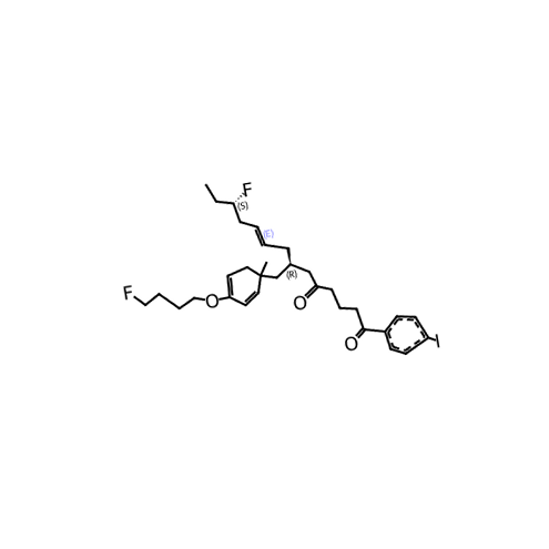 CC[C@H](F)C/C=C/C[C@@H](CC(=O)CCCC(=O)c1ccc(I)cc1)CC1(C)C=CC(OCCCCF)=CC1